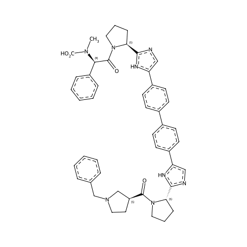 CN(C(=O)O)[C@@H](C(=O)N1CCC[C@H]1c1ncc(-c2ccc(-c3ccc(-c4cnc([C@@H]5CCCN5C(=O)[C@H]5CCN(Cc6ccccc6)C5)[nH]4)cc3)cc2)[nH]1)c1ccccc1